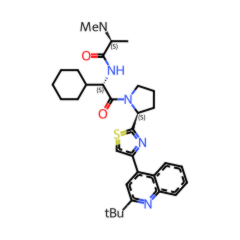 CN[C@@H](C)C(=O)N[C@H](C(=O)N1CCC[C@H]1c1nc(-c2cc(C(C)(C)C)nc3ccccc23)cs1)C1CCCCC1